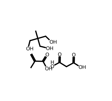 C=C(C)C(=O)O.CC(CO)(CO)CO.O=C(O)CC(=O)O